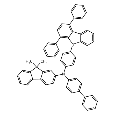 CC1(C)c2ccccc2-c2ccc(N(c3ccc(-c4ccccc4)cc3)c3ccc(-n4c5ccccc5c5c(-c6ccccc6)ccc(-c6ccccc6)c54)cc3)cc21